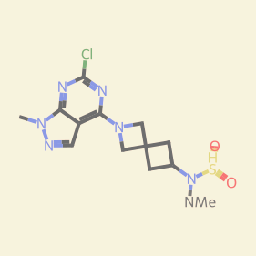 CNN(C1CC2(C1)CN(c1nc(Cl)nc3c1cnn3C)C2)[SH](=O)=O